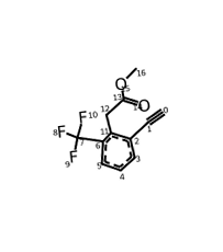 C#Cc1cccc(C(F)(F)F)c1CC(=O)OC